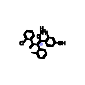 C=C(/C(=C(\ON)c1ccc(O)cc1F)c1ccccc1C)c1ccccc1Cl